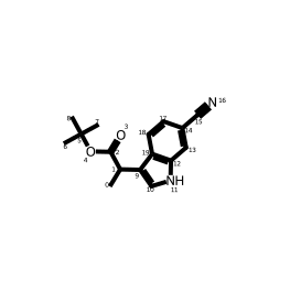 CC(C(=O)OC(C)(C)C)c1c[nH]c2cc(C#N)ccc12